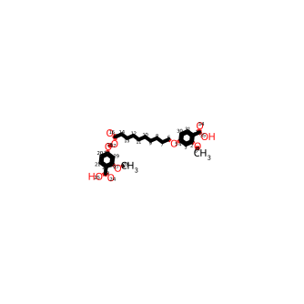 COc1cc(OCCCCCCCCCC(=O)OOc2ccc(C(=O)O)c(OC)c2)ccc1C(=O)O